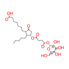 CCCCCC1C(OC(=O)CCC(=O)OC2O[C@H](CO)[C@@H](O)[C@H](O)[C@H]2O)CC(=O)C1CCCCCCC(=O)O